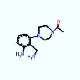 CC(=O)N1CCN(c2cccc(N)c2CN)CC1